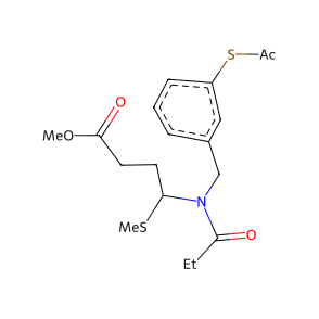 CCC(=O)N(Cc1cccc(SC(C)=O)c1)C(CCC(=O)OC)SC